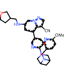 COc1ccc(CN2C3CC2CN(c2ccc(-c4cc(NCC5CCOC5)cn5ncc(C#N)c45)cn2)C3)cn1